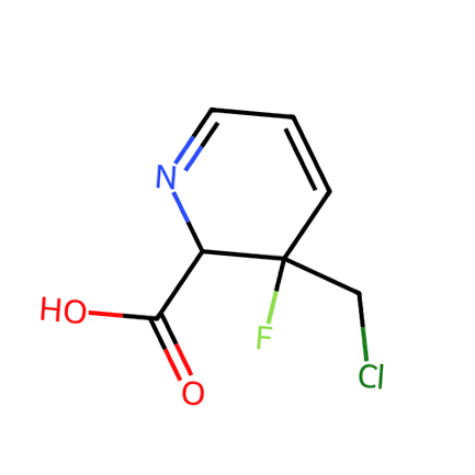 O=C(O)C1N=CC=CC1(F)CCl